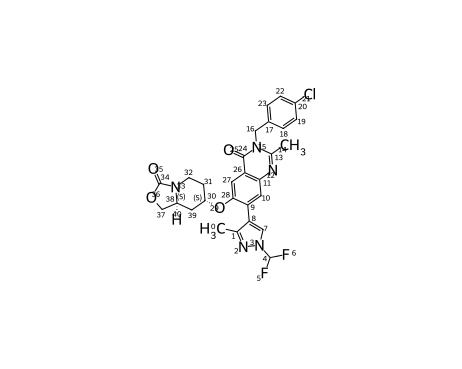 Cc1nn(C(F)F)cc1-c1cc2nc(C)n(Cc3ccc(Cl)cc3)c(=O)c2cc1O[C@H]1CCN2C(=O)OC[C@@H]2C1